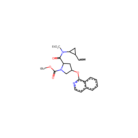 C=CC1CC1N(C(=O)OCC)C(=O)C1CC(Oc2nccc3ccccc23)CN1C(=O)OC(C)(C)C